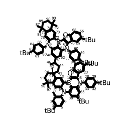 Cc1cc(C(C)(C)C)ccc1N1c2cc3c(cc2B2c4oc5ccc(C(C)(C)C)cc5c4N(c4ccc(C(C)(C)C)cc4)c4cc(C(C)(C)C)cc1c42)[C@@](C)(CCC(C)c1cc2c4c(c1)N(c1ccc(C(C)(C)C)cc1)c1c(oc5ccc(C(C)(C)C)cc15)B4c1cc4c(cc1N2c1ccc(C(C)(C)C)cc1)C(C)(C)CCC4(C)C)CCC3(C)C